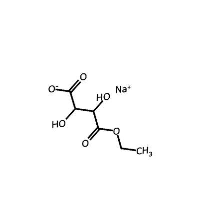 CCOC(=O)C(O)C(O)C(=O)[O-].[Na+]